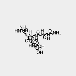 N=C(N)NCCC[C@H](NC(=O)CNC(=O)CNC(=O)CNC(=O)CN)C(=O)NCC(=O)N[C@@H](CC(=O)O)C(=O)O